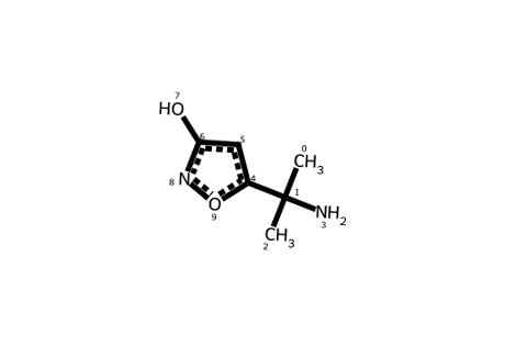 CC(C)(N)c1cc(O)no1